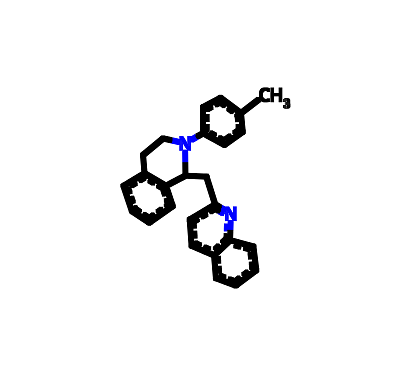 Cc1ccc(N2CCc3ccccc3C2Cc2ccc3ccccc3n2)cc1